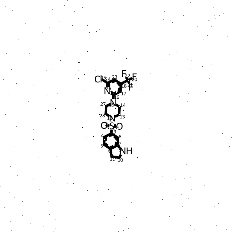 O=S(=O)(c1ccc2c(c1)NCC2)N1CCN(c2cc(C(F)(F)F)cc(Cl)n2)CC1